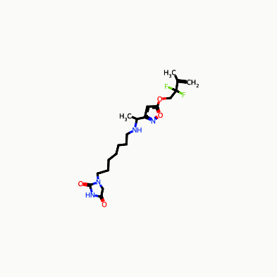 C=C(C)C(F)(F)COc1cc(C(C)NCCCCCCCN2CC(=O)NC2=O)no1